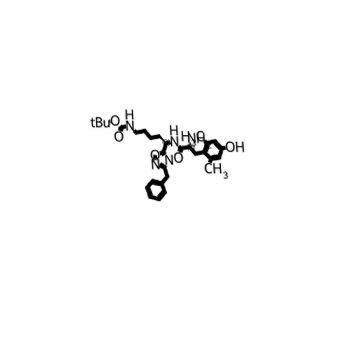 Cc1cc(O)cc(C)c1C[C@@H](N)C(=O)N[C@H](CCCCNC(=O)OC(C)(C)C)c1nc(Cc2ccccc2)no1